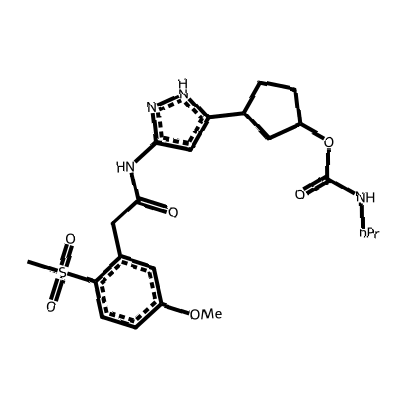 CCCNC(=O)OC1CCC(c2cc(NC(=O)Cc3cc(OC)ccc3S(C)(=O)=O)n[nH]2)C1